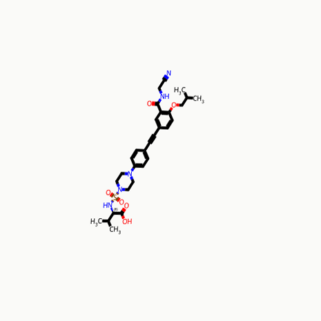 CC(C)COc1ccc(C#Cc2ccc(N3CCN(S(=O)(=O)N[C@@H](C(=O)O)C(C)C)CC3)cc2)cc1C(=O)NCC#N